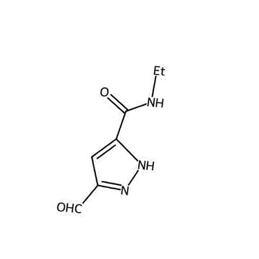 CCNC(=O)c1cc(C=O)n[nH]1